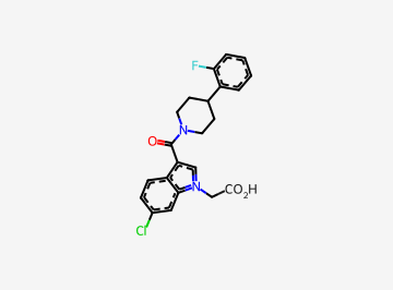 O=C(O)Cn1cc(C(=O)N2CCC(c3ccccc3F)CC2)c2ccc(Cl)cc21